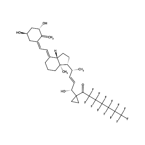 C=C1/C(=C\C=C2/CCC[C@]3(C)[C@@H]([C@H](C)/C=C/[C@@H](O)C4(C(=O)C(F)(F)C(F)(F)C(F)(F)C(F)(F)C(F)(F)C(F)(F)F)CC4)CC[C@@H]23)C[C@@H](O)C[C@@H]1O